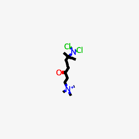 CC(C)(CCC(=O)CC[N+](C)(C)C)N(Cl)Cl